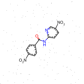 O=C(Nc1ccc([N+](=O)[O-])cn1)c1ccc([N+](=O)[O-])cc1